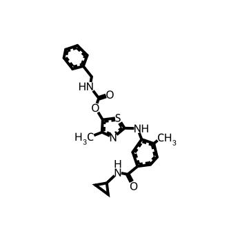 Cc1ccc(C(=O)NC2CC2)cc1Nc1nc(C)c(OC(=O)NCc2ccccc2)s1